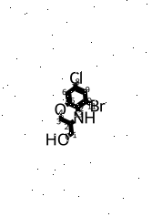 OCC1COc2cc(Cl)cc(Br)c2N1